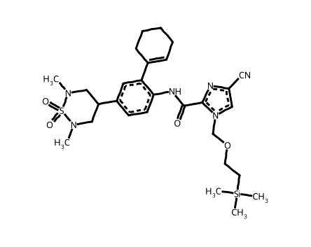 CN1CC(c2ccc(NC(=O)c3nc(C#N)cn3COCC[Si](C)(C)C)c(C3=CCCCC3)c2)CN(C)S1(=O)=O